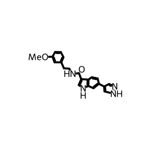 COc1cccc(CCNC(=O)c2c[nH]c3cc(-c4cn[nH]c4)ccc23)c1